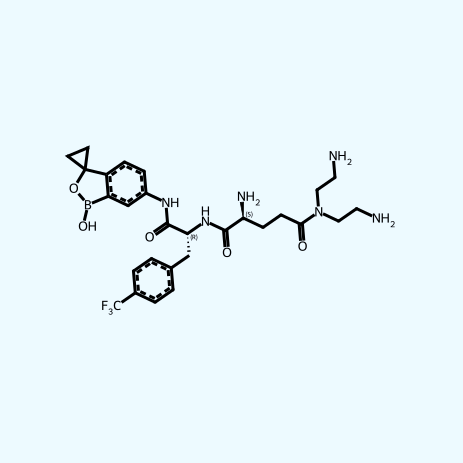 NCCN(CCN)C(=O)CC[C@H](N)C(=O)N[C@H](Cc1ccc(C(F)(F)F)cc1)C(=O)Nc1ccc2c(c1)B(O)OC21CC1